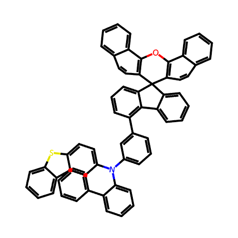 c1ccc(-c2ccccc2N(c2cccc(-c3cccc4c3-c3ccccc3C43c4ccc5ccccc5c4Oc4c3ccc3ccccc43)c2)c2ccc3sc4ccccc4c3c2)cc1